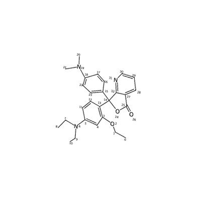 CCOc1cc(N(CC)CC)ccc1C1(c2ccc(N(C)C)cc2)OC(=O)c2cccnc21